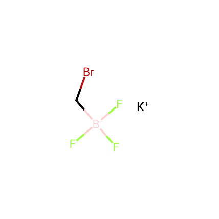 F[B-](F)(F)CBr.[K+]